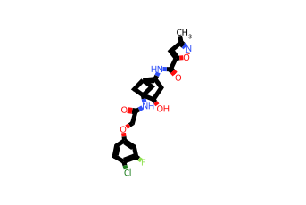 Cc1cc(C(=O)NC2=C3CC(NC(=O)COc4ccc(Cl)c(F)c4)(C3)C(O)C2)on1